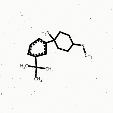 CSC1CCC(N)(c2cccc(C(C)(C)C)c2)CC1